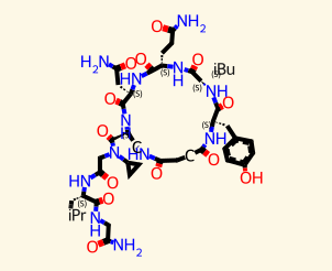 CC[C@H](C)[C@@H]1NC(=O)[C@H](Cc2ccc(O)cc2)NC(=O)CCC(=O)NC[C@@H](C(=O)N(CC(=O)N[C@@H](CC(C)C)C(=O)NCC(N)=O)C2CC2)NC(=O)[C@H](CC(N)=O)NC(=O)[C@H](CCC(N)=O)NC1=O